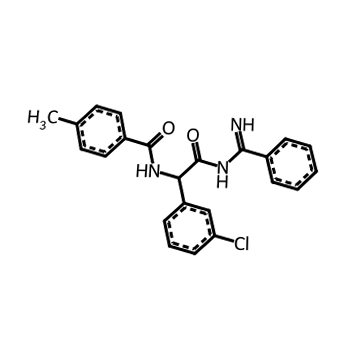 Cc1ccc(C(=O)NC(C(=O)NC(=N)c2ccccc2)c2cccc(Cl)c2)cc1